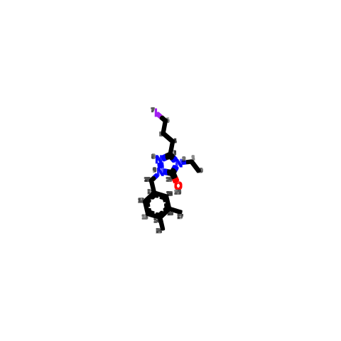 CCn1c(CCCI)nn(Cc2ccc(C)c(C)c2)c1=O